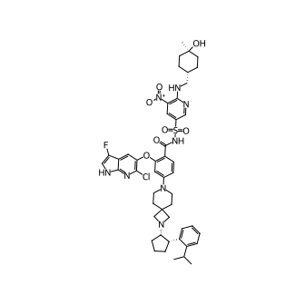 CC(C)c1ccccc1[C@@H]1CCC[C@@H]1N1CC2(CCN(c3ccc(C(=O)NS(=O)(=O)c4cnc(NC[C@H]5CC[C@](C)(O)CC5)c([N+](=O)[O-])c4)c(Oc4cc5c(F)c[nH]c5nc4Cl)c3)CC2)C1